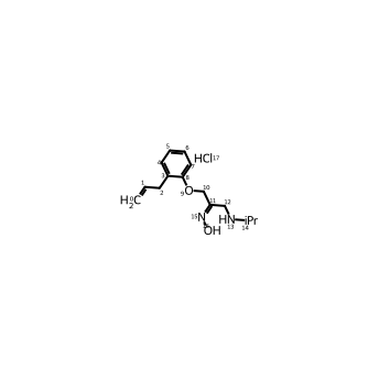 C=CCc1ccccc1OCC(CNC(C)C)=NO.Cl